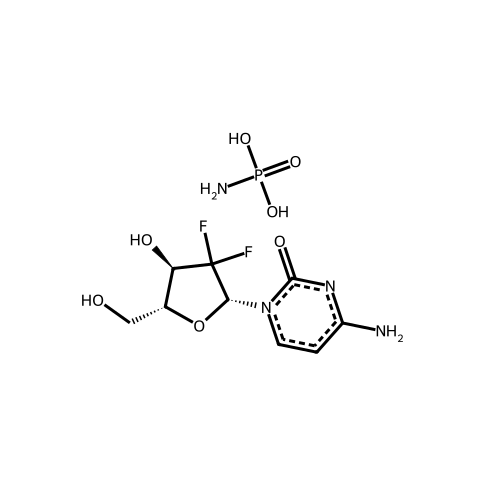 NP(=O)(O)O.Nc1ccn([C@@H]2O[C@H](CO)[C@@H](O)C2(F)F)c(=O)n1